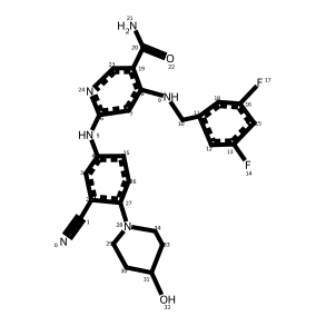 N#Cc1cc(Nc2cc(NCc3cc(F)cc(F)c3)c(C(N)=O)cn2)ccc1N1CCC(O)CC1